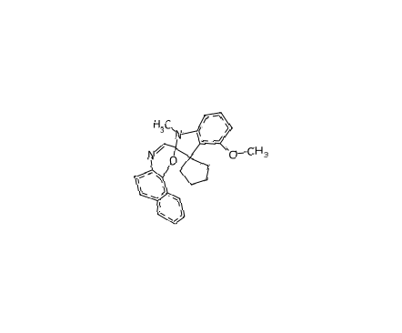 COc1cccc2c1C1(CCCC1)C1(C=Nc3ccc4ccccc4c3O1)N2C